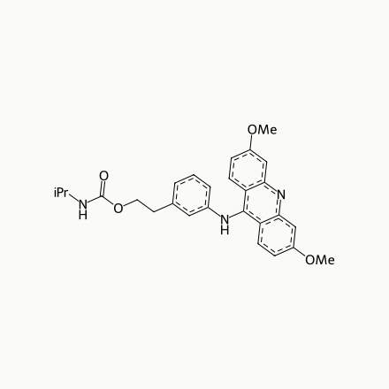 COc1ccc2c(Nc3cccc(CCOC(=O)NC(C)C)c3)c3ccc(OC)cc3nc2c1